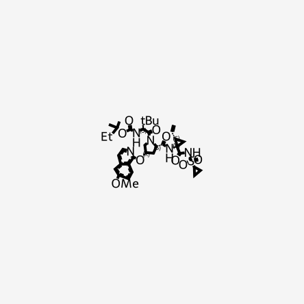 C=C[C@@H]1C[C@]1(NC(=O)[C@@H]1C[C@@H](Oc2nccc3cc(OC)ccc23)CN1C(=O)[C@@H](NC(=O)OC(C)(C)CC)C(C)(C)C)C(=O)NS(=O)(=O)C1CC1